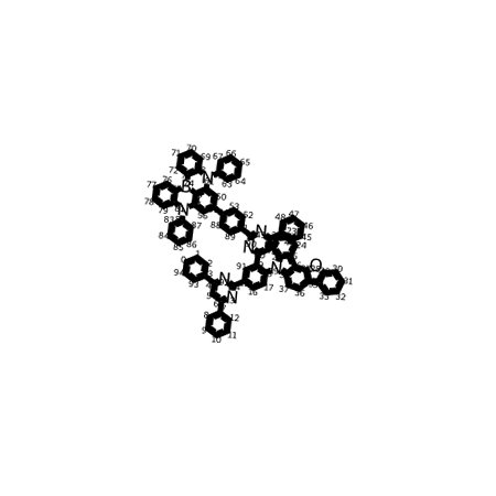 c1ccc(-c2cc(-c3ccccc3)nc(-c3ccc(-n4c5ccccc5c5c6oc7ccccc7c6ccc54)c(-c4cc(-c5ccccc5)nc(-c5ccc(-c6cc7c8c(c6)N(c6ccccc6)c6ccccc6B8c6ccccc6N7c6ccccc6)cc5)n4)c3)n2)cc1